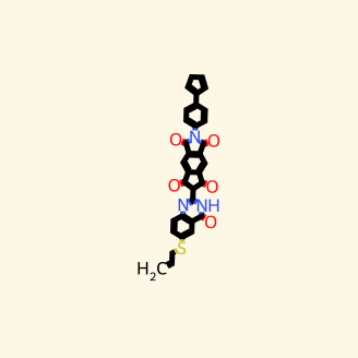 C=CCSc1ccc2nc(C3C(=O)c4cc5c(cc4C3=O)C(=O)N(c3ccc(C4=CCC=C4)cc3)C5=O)[nH]c(=O)c2c1